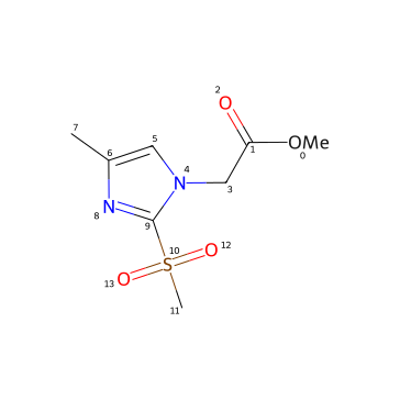 COC(=O)Cn1cc(C)nc1S(C)(=O)=O